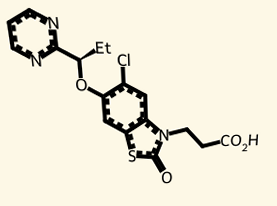 CC[C@@H](Oc1cc2sc(=O)n(CCC(=O)O)c2cc1Cl)c1ncccn1